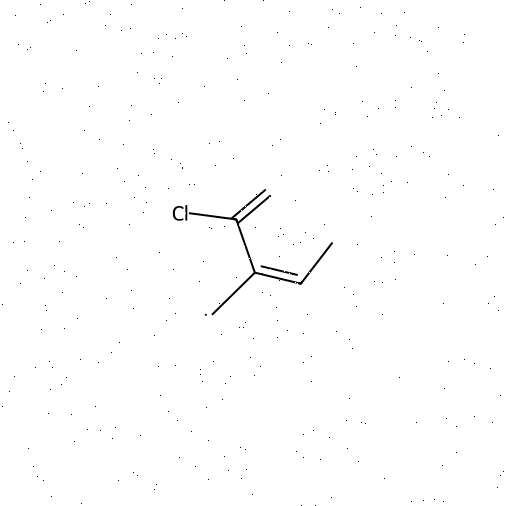 [CH2]C(=CC)C(=C)Cl